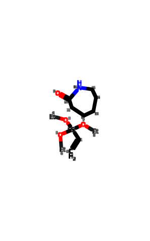 C=C[Si](OCC)(OCC)OCC.O=C1CCCCCN1